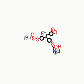 CC/C(=C(\c1ccc(OCOC(=O)C(C)(C)C)cc1)c1ccc(OCC(O)CNC(C)C)cc1)c1ccc2c(c1)OCO2